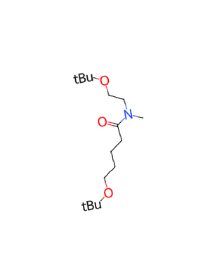 CN(CCOC(C)(C)C)C(=O)CCCCOC(C)(C)C